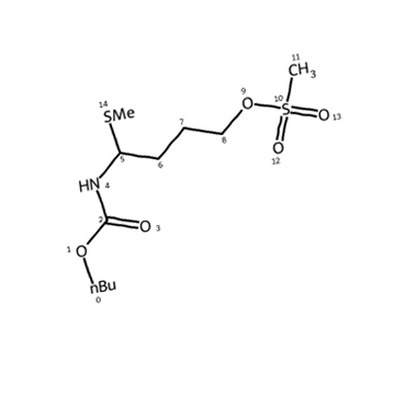 CCCCOC(=O)NC(CCCOS(C)(=O)=O)SC